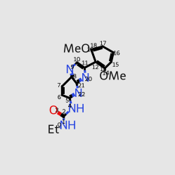 CCNC(=O)Nc1ccc2ncc(-c3c(OC)cccc3OC)nc2n1